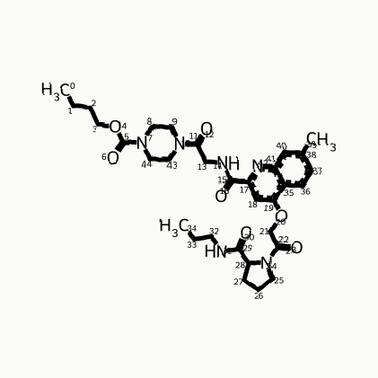 CCCCOC(=O)N1CCN(C(=O)CNC(=O)c2cc(OCC(=O)N3CCCC3C(=O)NCCC)c3ccc(C)cc3n2)CC1